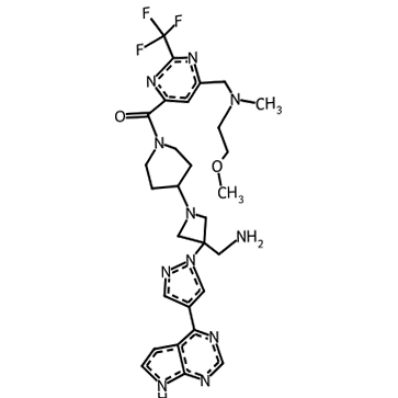 COCCN(C)Cc1cc(C(=O)N2CCC(N3CC(CN)(n4cc(-c5ncnc6[nH]ccc56)cn4)C3)CC2)nc(C(F)(F)F)n1